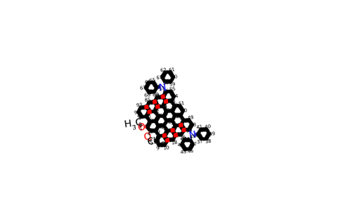 COc1c(OC)c(-c2ccccc2)c2c(-c3ccccc3)c3c(-c4ccccc4)c4c(-c5ccc(N(c6ccccc6)c6ccccc6)cc5)ccc(-c5ccc(N(c6ccccc6)c6ccccc6)cc5)c4c(-c4ccccc4)c3c(-c3ccccc3)c2c1-c1ccccc1